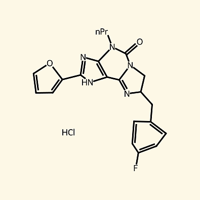 CCCN1C(=O)N2CC(Cc3ccc(F)cc3)N=C2c2[nH]c(-c3ccco3)nc21.Cl